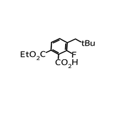 CCOC(=O)c1ccc(CC(C)(C)C)c(F)c1C(=O)O